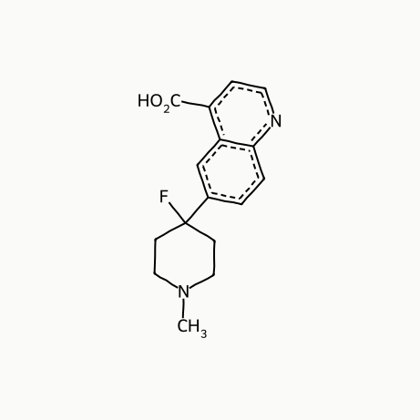 CN1CCC(F)(c2ccc3nccc(C(=O)O)c3c2)CC1